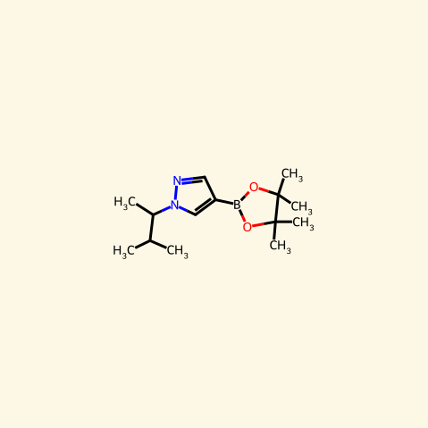 CC(C)C(C)n1cc(B2OC(C)(C)C(C)(C)O2)cn1